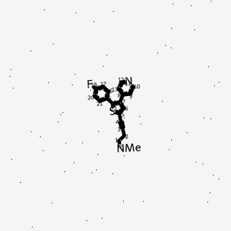 CNCCC#Cc1cc(-c2ccncc2)c(-c2ccc(F)cc2)s1